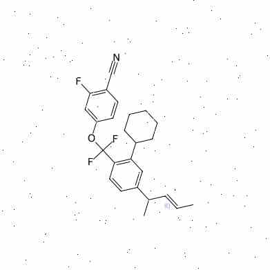 C/C=C/C(C)c1ccc(C(F)(F)Oc2ccc(C#N)c(F)c2)c(C2CCCCC2)c1